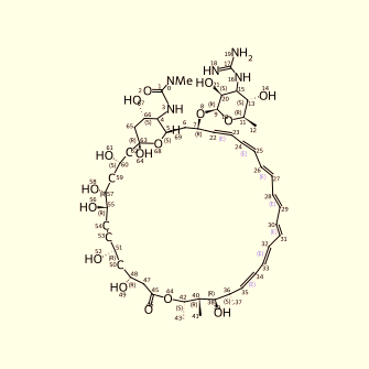 CNC(=O)NC1[C@@H]2C[C@@H](O[C@@H]3O[C@H](C)[C@@H](O)C(NC(=N)N)[C@@H]3O)/C=C/C=C/C=C/C=C/C=C/C=C/C=C/[C@H](C)[C@@H](O)[C@@H](C)[C@H](C)OC(=O)C[C@H](O)C[C@H](O)CC[C@@H](O)[C@H](O)C[C@H](O)C[C@](O)(C[C@@H]1O)O2